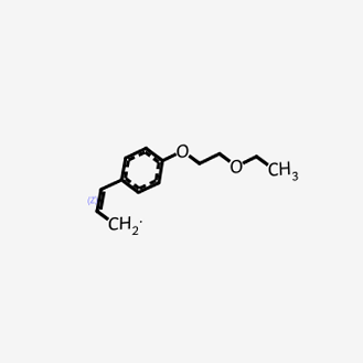 [CH2]/C=C\c1ccc(OCCOCC)cc1